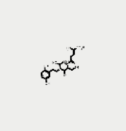 NC(CCC(=O)NC(CS)C(=O)N(CCc1cc(O)ccc1O)C(O)C(=O)O)C(=O)O